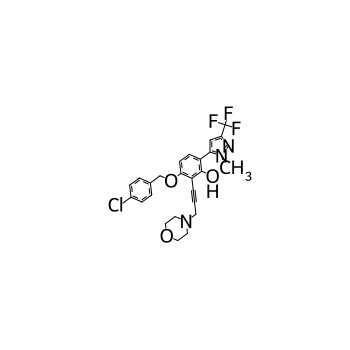 Cn1nc(C(F)(F)F)cc1-c1ccc(OCc2ccc(Cl)cc2)c(C#CCN2CCOCC2)c1O